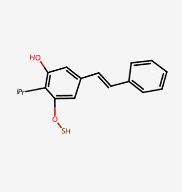 CC(C)c1c(O)cc(/C=C/c2ccccc2)cc1OS